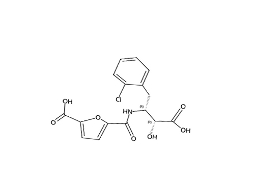 O=C(O)c1ccc(C(=O)N[C@H](Cc2ccccc2Cl)[C@@H](O)C(=O)O)o1